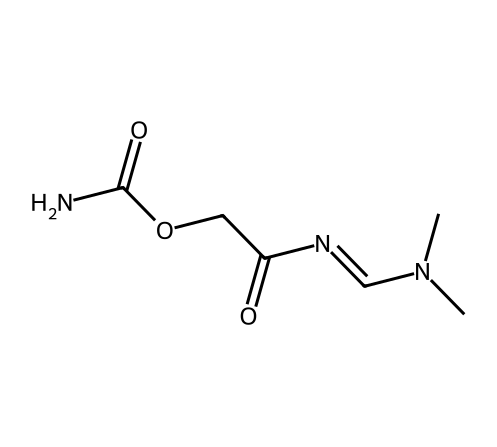 CN(C)/C=N/C(=O)COC(N)=O